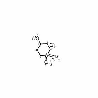 C[N+]1(C)CCC(O)CC1.[Cl-]